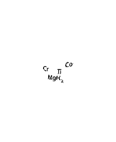 [Co].[Cr].[MgH2].[Ti]